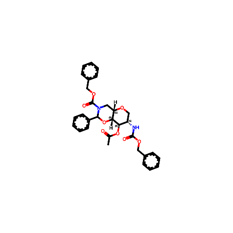 CC(=O)O[C@H]1[C@@H]2OC(c3ccccc3)N(C(=O)OCc3ccccc3)C[C@@H]2OC[C@@H]1NC(=O)OCc1ccccc1